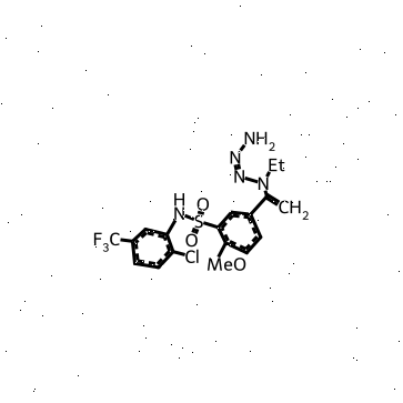 C=C(c1ccc(OC)c(S(=O)(=O)Nc2cc(C(F)(F)F)ccc2Cl)c1)N(CC)/N=N\N